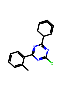 Cc1ccccc1-c1nc(Cl)nc(C2C=C=C=CC2)n1